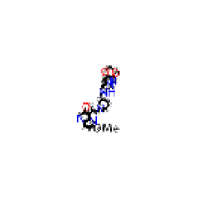 COc1ccc2ncc3c(c2n1)[C@@H](CN1CCC[C@@H](CNCc2cc4c(nn2)OCCO4)C1)CO3